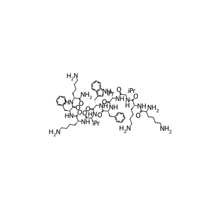 CC(C)[C@H](NC(=O)[C@H](Cc1c[nH]c2ccccc12)NC(=O)[C@H](Cc1ccccc1)NC(=O)[C@@H](NC(=O)[C@@H](NC(=O)[C@H](CCCCN)NC(=O)[C@@H](N)CCCCN)C(C)C)C(C)C)C(=O)N[C@@H](CCCCN)C(=O)N[C@@H](Cc1ccccc1)C(=O)N[C@@H](CCCCN)C(N)=O